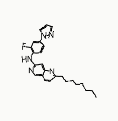 CCCCCCCCc1ccc2cnc(Nc3ccc(-n4cccn4)cc3F)cc2n1